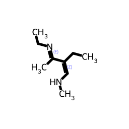 CC/N=C(C)/C(=C\NC)CC